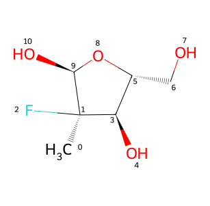 C[C@@]1(F)[C@H](O)[C@@H](CO)O[C@@H]1O